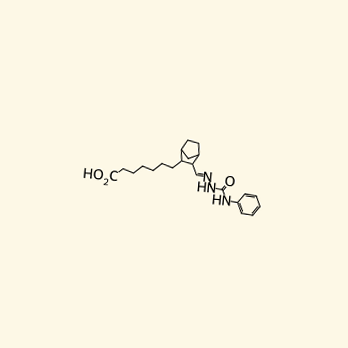 O=C(O)CCCCCCC1C2CCC(C2)C1C=NNC(=O)Nc1ccccc1